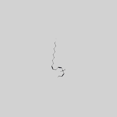 [2H]C([2H])(/C=C\CC)/C=C\C/C=C\CCCCCCCCOO